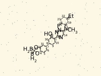 BC1(B)Oc2ccc(-c3ccc(-c4ncc(N(C)[C@@H]5C[C@H](CC)CC[C@@H]5F)nn4)c(O)c3)cc2O1